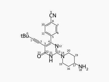 CC(C)(C)C#Cc1c(-c2ccc(C#N)cc2)nc(N2CCC(N)CC2)[nH]c1=O